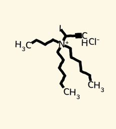 C#CC(I)[N+](CCCC)(CCCCCC)CCCCCC.[Cl-]